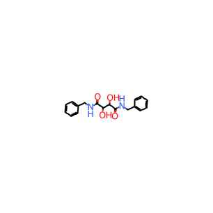 O=C(NCc1ccccc1)C(O)C(O)C(=O)NCc1ccccc1